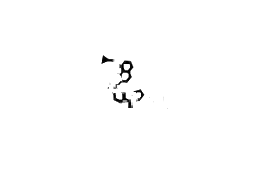 NC[C@H]1CCN(C(c2ccc3nnc(-c4ccc5cccc(OCC6CC6)c5n4)n3c2)C(F)(F)F)C1